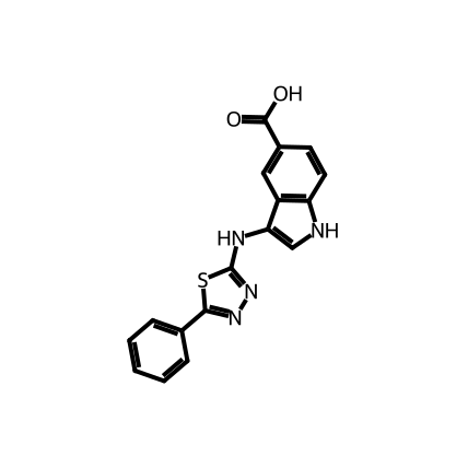 O=C(O)c1ccc2[nH]cc(Nc3nnc(-c4ccccc4)s3)c2c1